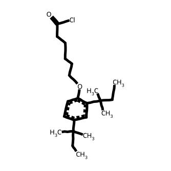 CCC(C)(C)c1ccc(OCCCCCC(=O)Cl)c(C(C)(C)CC)c1